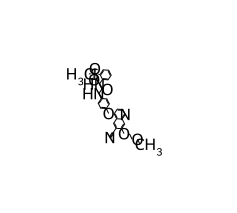 COCCOc1cc2nccc(Oc3ccc(NC(=O)Nc4ccccc4S(C)(=O)=O)cc3)c2cc1C#N